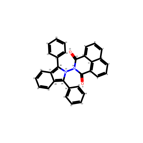 O=C1c2cccc3cccc(c23)C(=O)N1n1c(-c2ccccc2)c2ccccc2c1-c1ccccc1